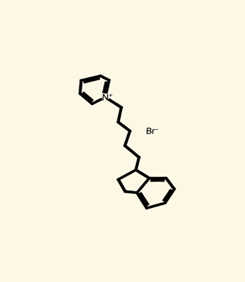 [Br-].c1cc[n+](CCCCCC2CCc3ccccc32)cc1